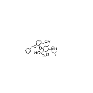 COc1c(C(=O)O)c(Oc2c(CO)cccc2OCc2ccccc2)cc(C)c1C(O)CC(C)C